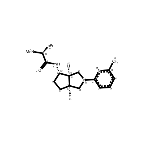 CCC[C@H](NC)C(=O)N[C@H]1CC[C@@H]2CN(c3cccc(C(F)(F)F)n3)C[C@@H]21